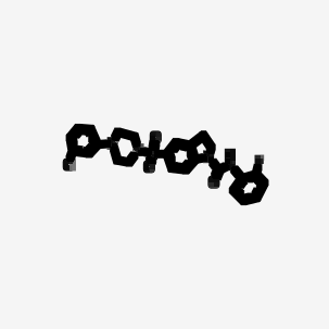 O=C(Nc1ccccc1F)N1CCc2cc(S(=O)(=O)N3CCN(c4cccc(Cl)c4)CC3)ccc21